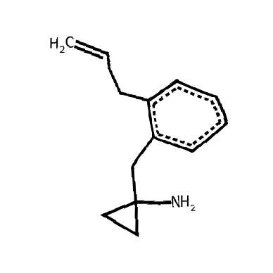 C=CCc1ccccc1CC1(N)CC1